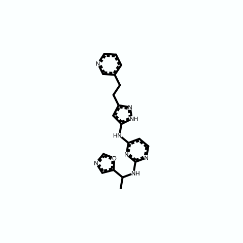 CC(Nc1nccc(Nc2cc(CCc3cccnc3)n[nH]2)n1)c1cnco1